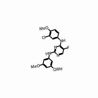 COc1cc(Nc2ncc(F)c(Nc3ccc(OC)c(Cl)c3)n2)cc(OC)c1